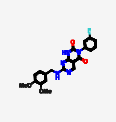 COc1ccc(CNc2ncc3c(=O)n(-c4cccc(F)c4)c(=O)[nH]c3n2)cc1OC